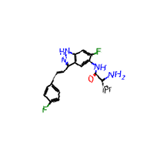 CC(C)C(N)C(=O)Nc1cc2c(/C=C/c3ccc(F)cc3)n[nH]c2cc1F